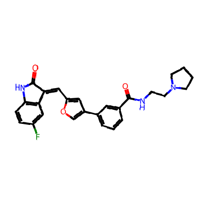 O=C1Nc2ccc(F)cc2/C1=C\c1cc(-c2cccc(C(=O)NCCN3CCCC3)c2)co1